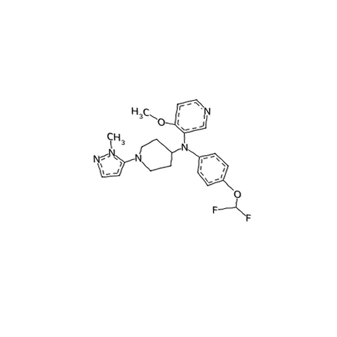 COc1ccncc1N(c1ccc(OC(F)F)cc1)C1CCN(c2ccnn2C)CC1